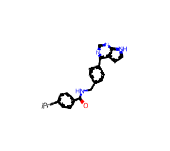 CC(C)c1ccc(C(=O)NCc2ccc(-c3ncnc4[nH]ccc34)cc2)cc1